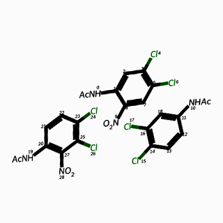 CC(=O)Nc1cc(Cl)c(Cl)cc1[N+](=O)[O-].CC(=O)Nc1ccc(Cl)c(Cl)c1.CC(=O)Nc1ccc(Cl)c(Cl)c1[N+](=O)[O-]